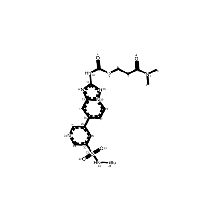 CN(C)C(=O)CCOC(=O)Nc1nc2cc(-c3cncc(S(=O)(=O)NC(C)(C)C)c3)ccn2n1